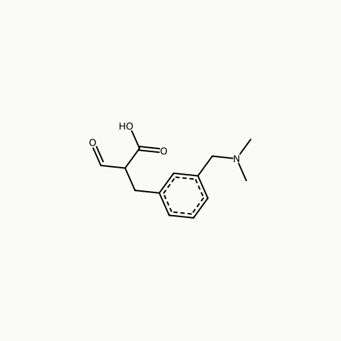 CN(C)Cc1cccc(CC(C=O)C(=O)O)c1